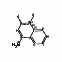 Cc1cc(N)c2ccccc2[n+]1C